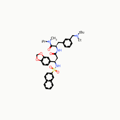 CCN(Cc1cccc(C[C@@H](NC(=O)C[C@@H](NS(=O)(=O)c2ccc3ccccc3c2)c2ccc3c(c2)OCO3)C(=O)N(C)C(C)C)c1)C(C)(C)C